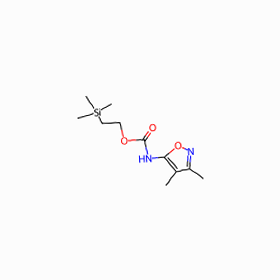 Cc1noc(NC(=O)OCC[Si](C)(C)C)c1C